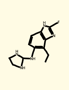 CCc1c(NC2NCCN2)ccc2[nH]c(F)nc12